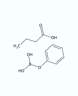 CCCC(=O)O.OB(O)Oc1ccccc1